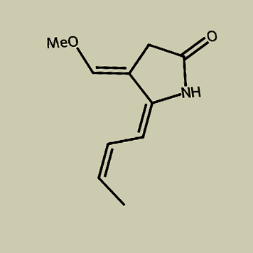 C\C=C/C=C1/NC(=O)C/C1=C\OC